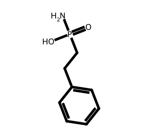 NP(=O)(O)CCc1ccccc1